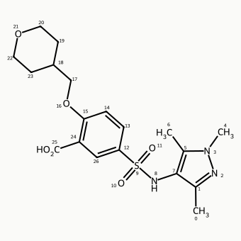 Cc1nn(C)c(C)c1NS(=O)(=O)c1ccc(OCC2CCOCC2)c(C(=O)O)c1